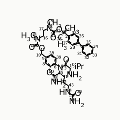 CC(C)[C@H](N)C(=O)N(c1ccc(COC(=O)N(C)CCN(C)C(=O)OC(C)(C)c2ccc(-c3ccccc3)cc2)cc1)[C@@H](CCCNC(N)=O)C(N)=O